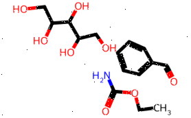 CCOC(N)=O.O=Cc1ccccc1.OCC(O)C(O)C(O)CO